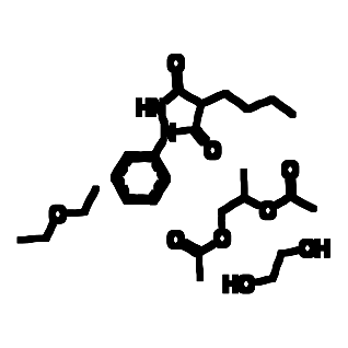 CC(=O)OCC(C)OC(C)=O.CCCCC1C(=O)NN(c2ccccc2)C1=O.CCOCC.OCCO